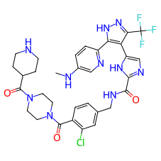 CNc1ccc(-c2[nH]nc(C(F)(F)F)c2-c2cnc(C(=O)NCc3ccc(C(=O)N4CCN(C(=O)C5CCNCC5)CC4)c(Cl)c3)[nH]2)nc1